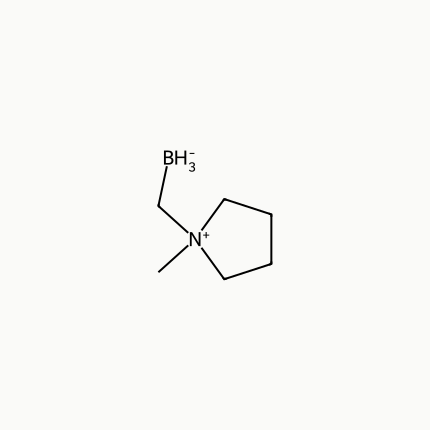 [BH3-]C[N+]1(C)CCCC1